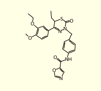 CCOc1cc(C2=NN(Cc3ccc(NC(=O)c4cnco4)cc3)C(=O)SC2CC)ccc1OC